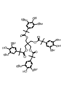 CC(C)(C)c1cc(C(C)(C)C(=O)OCC(COC(=O)C(C)(C)c2cc(C(C)(C)C)c(O)c(C(C)(C)C)c2)(COC(=O)C(C)(C)c2cc(C(C)(C)C)c(O)c(C(C)(C)C)c2)COC(=O)C(C)(C)c2cc(C(C)(C)C)c(O)c(C(C)(C)C)c2)cc(C(C)(C)C)c1O